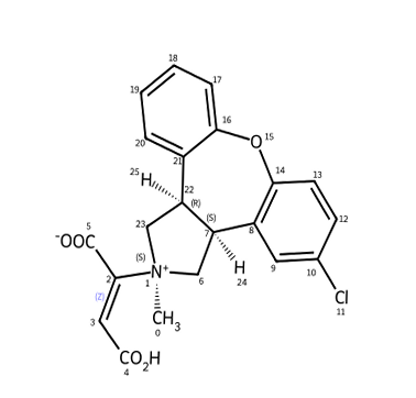 C[N@@+]1(/C(=C\C(=O)O)C(=O)[O-])C[C@@H]2c3cc(Cl)ccc3Oc3ccccc3[C@@H]2C1